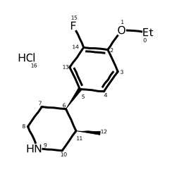 CCOc1ccc([C@@H]2CCNC[C@@H]2C)cc1F.Cl